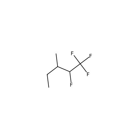 CCC(C)C(F)C(F)(F)F